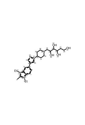 CCn1c(C)[n+](CC)c2ccc(-c3cnn(C4CCN(CC(O)C(O)C(O)CCO)CC4)c3)cc21